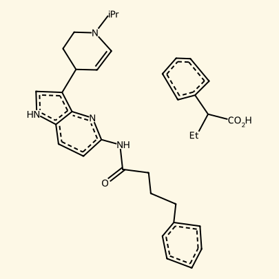 CC(C)N1C=CC(c2c[nH]c3ccc(NC(=O)CCCc4ccccc4)nc23)CC1.CCC(C(=O)O)c1ccccc1